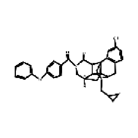 CCC1C2C3[C@@H](CN1C(=O)c1ccc(Oc4ccccc4)cc1)CC31C3Cc4ccc(O)cc4C21CCN3CC1CC1